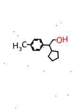 Cc1ccc(C(CO)C2CCCC2)cc1